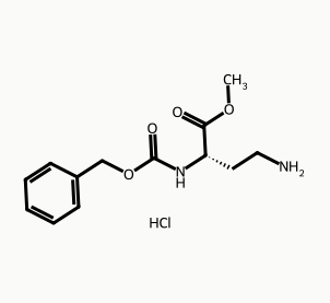 COC(=O)[C@H](CCN)NC(=O)OCc1ccccc1.Cl